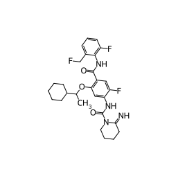 CC(Oc1cc(NC(=O)N2CCCCC2=N)c(F)cc1C(=O)Nc1c(F)cccc1CF)C1CCCCC1